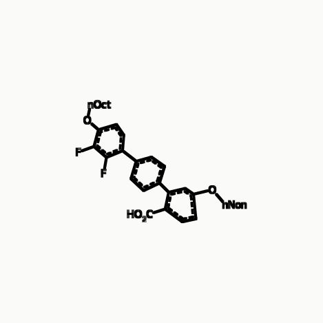 CCCCCCCCCOc1ccc(C(=O)O)c(-c2ccc(-c3ccc(OCCCCCCCC)c(F)c3F)cc2)c1